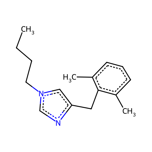 CCCCn1cnc(Cc2c(C)cccc2C)c1